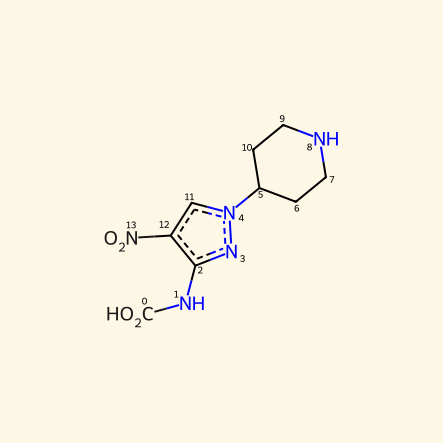 O=C(O)Nc1nn(C2CCNCC2)cc1[N+](=O)[O-]